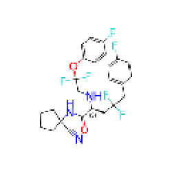 N#CC1(NC(=O)[C@H](CC(F)(F)Cc2ccc(F)cc2)NCC(F)(F)Oc2ccc(F)cc2)CCCC1